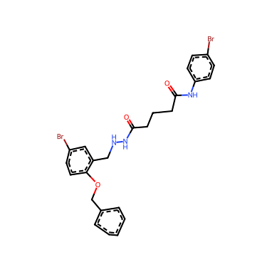 O=C(CCCC(=O)Nc1ccc(Br)cc1)NNCc1cc(Br)ccc1OCc1ccccc1